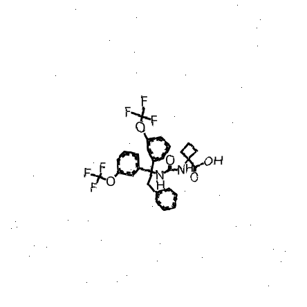 O=C(NC1(C(=O)O)CCC1)NC(Cc1ccccc1)(c1cccc(OC(F)(F)F)c1)c1cccc(OC(F)(F)F)c1